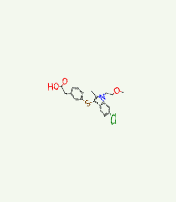 COCCn1c(C)c(Sc2cccc(CC(=O)O)c2)c2ccc(Cl)cc21